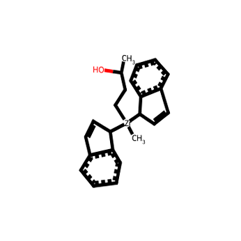 CC(O)C[CH2][Zr]([CH3])([CH]1C=Cc2ccccc21)[CH]1C=Cc2ccccc21